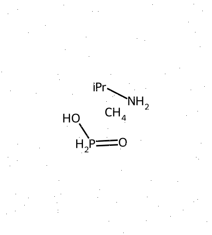 C.CC(C)N.O=[PH2]O